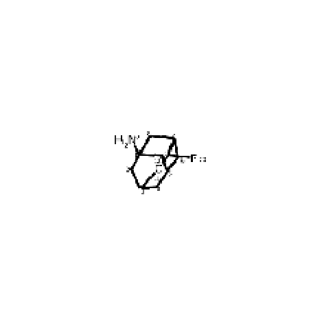 NC12CC3CC(CC(C1)C(F)C3)C2